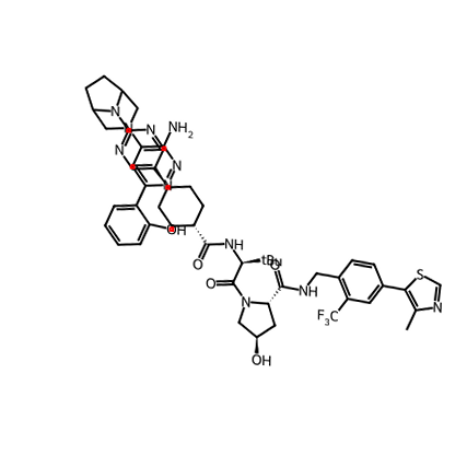 Cc1ncsc1-c1ccc(CNC(=O)[C@@H]2C[C@@H](O)CN2C(=O)[C@@H](NC(=O)[C@H]2CC[C@H](c3cnc(N4C5CCC4CN(c4cc(-c6ccccc6O)nnc4N)C5)nc3)CC2)C(C)(C)C)c(C(F)(F)F)c1